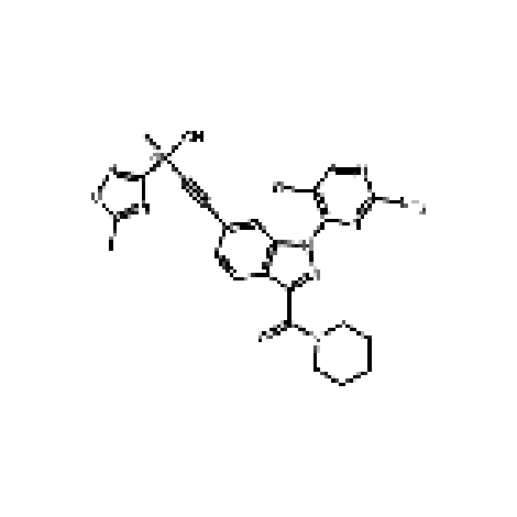 Cc1nc([C@](C)(O)C#Cc2ccc3c(C(=O)N4CCCCC4)nn(-c4nc(N)ncc4Cl)c3c2)no1